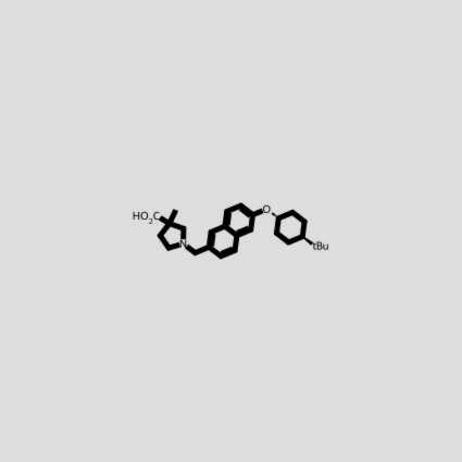 CC1(C(=O)O)CCN(Cc2ccc3cc(O[C@H]4CC[C@H](C(C)(C)C)CC4)ccc3c2)C1